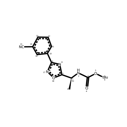 C[C@H](NC(=O)OC(C)(C)C)c1nc(-c2cccc(C#N)c2)no1